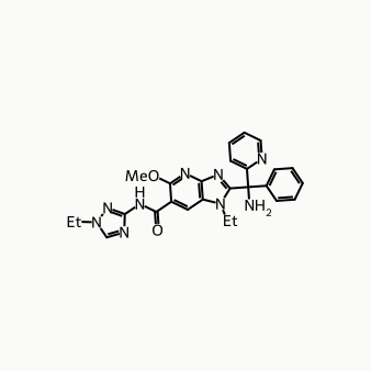 CCn1cnc(NC(=O)c2cc3c(nc2OC)nc(C(N)(c2ccccc2)c2ccccn2)n3CC)n1